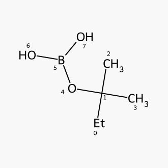 CCC(C)(C)OB(O)O